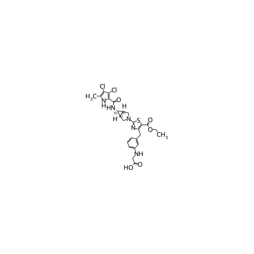 CCOC(=O)c1sc(N2C[C@@H]3[C@H](C2)[C@H]3NC(=O)c2[nH]c(C)c(Cl)c2Cl)nc1Cc1cccc(NCC(=O)O)c1